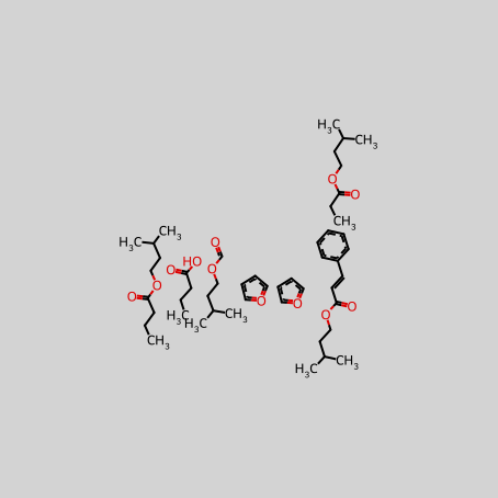 CC(C)CCOC(=O)/C=C/c1ccccc1.CC(C)CCOC=O.CCC(=O)OCCC(C)C.CCCC(=O)O.CCCC(=O)OCCC(C)C.c1ccoc1.c1ccoc1